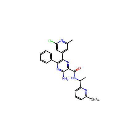 CC(=O)Nc1cccc(C(C)NC(=O)c2nc(-c3cc(C)nc(Cl)c3)c(-c3ccccc3)nc2N)n1